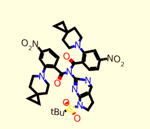 CC(C)(C)S(=O)(=O)N1CCc2cnc(N(C(=O)c3ccc([N+](=O)[O-])cc3N3CCC4(CC3)CC4)C(=O)c3ccc([N+](=O)[O-])cc3N3CCC4(CC3)CC4)nc21